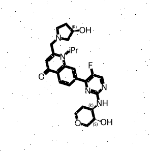 CC(C)n1c(CN2CC[C@@H](O)C2)cc(=O)c2ccc(-c3nc(N[C@@H]4CCOC[C@H]4O)ncc3F)cc21